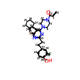 C=CC(=O)N1CCN(c2nc(CCc3ccc(O)c(F)c3)nc3sc4c(c23)CCCC4)CC1